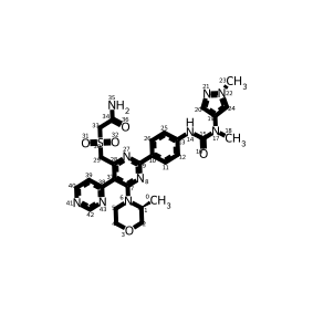 C[C@H]1COCCN1c1nc(-c2ccc(NC(=O)N(C)c3cnn(C)c3)cc2)nc(CS(=O)(=O)CC(N)=O)c1-c1ccncn1